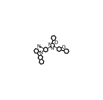 N#Cc1cc(-c2nc(-c3ccc4c(c3)oc3ccccc34)c3oc4ccccc4c3n2)ccc1-n1c2ccccc2c2cc3ccccc3cc21